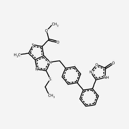 CCSc1nc2c(C)sc(C(=O)OC)c2n1Cc1ccc(-c2ccccc2-c2noc(=O)[nH]2)cc1